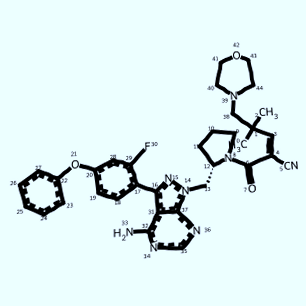 CC(C)(/C=C(/C#N)C(=O)N1CCC[C@H]1Cn1nc(-c2ccc(Oc3ccccc3)cc2F)c2c(N)ncnc21)CN1CCOCC1